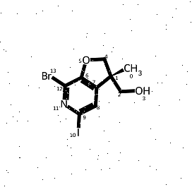 C[C@]1(CO)COc2c1cc(I)nc2Br